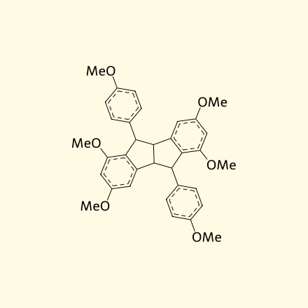 COc1ccc(C2c3c(OC)cc(OC)cc3C3C(c4ccc(OC)cc4)c4c(OC)cc(OC)cc4C23)cc1